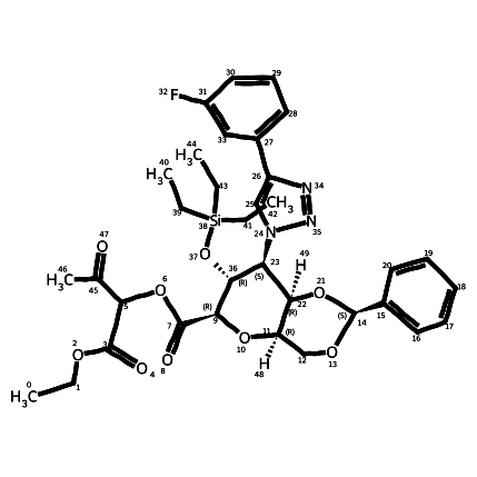 CCOC(=O)C(OC(=O)[C@@H]1O[C@@H]2CO[C@H](c3ccccc3)O[C@@H]2[C@H](n2cc(-c3cccc(F)c3)nn2)[C@H]1O[Si](CC)(CC)CC)C(C)=O